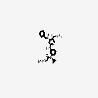 COCC(=O)N(c1cccc(Nc2ncc(C(N)=O)c(NCc3ccccc3)n2)c1)C1CC1